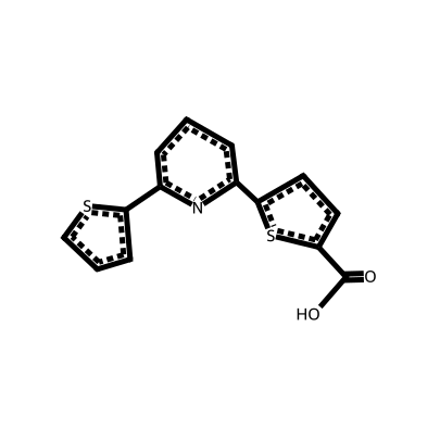 O=C(O)c1ccc(-c2cccc(-c3cccs3)n2)s1